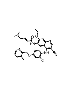 CCOc1cc2ncc(C#N)c(Nc3ccc(OCc4ncccc4C)cc3Cl)c2cc1NC(=O)C=CCN(C)C